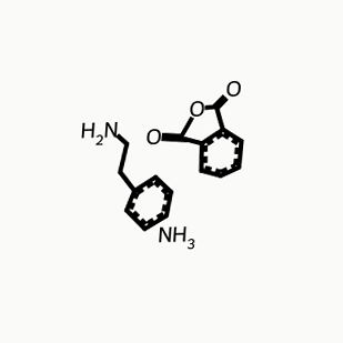 N.NCCc1ccccc1.O=C1OC(=O)c2ccccc21